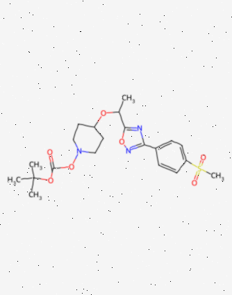 CC(OC1CCN(OC(=O)OC(C)(C)C)CC1)c1nc(-c2ccc(S(C)(=O)=O)cc2)no1